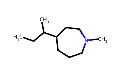 CCC(C)C1CCCN(C)CC1